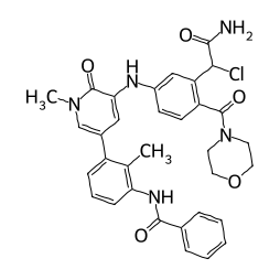 Cc1c(NC(=O)c2ccccc2)cccc1-c1cc(Nc2ccc(C(=O)N3CCOCC3)c(C(Cl)C(N)=O)c2)c(=O)n(C)c1